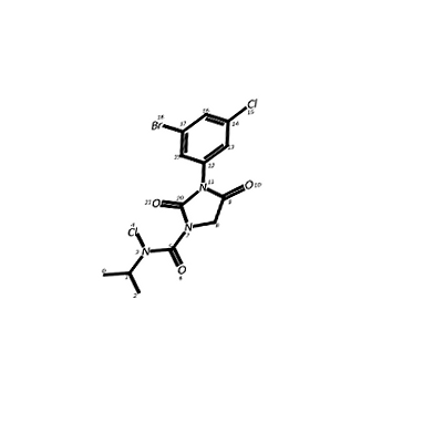 CC(C)N(Cl)C(=O)N1CC(=O)N(c2cc(Cl)cc(Br)c2)C1=O